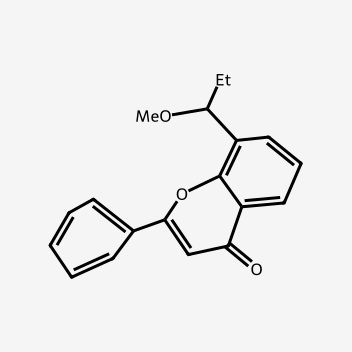 CCC(OC)c1cccc2c(=O)cc(-c3ccccc3)oc12